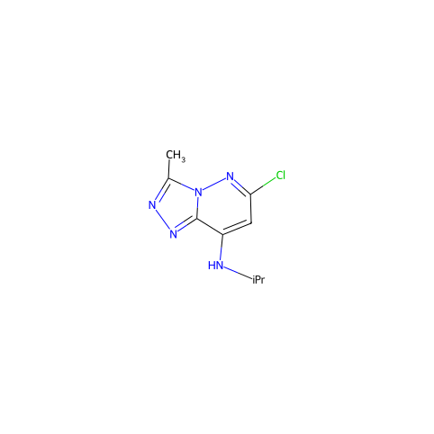 Cc1nnc2c(NC(C)C)cc(Cl)nn12